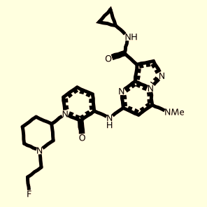 CNc1cc(Nc2cccn(C3CCCN(CCF)C3)c2=O)nc2c(C(=O)NC3CC3)cnn12